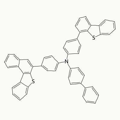 c1ccc(-c2ccc(N(c3ccc(-c4cccc5c4sc4ccccc45)cc3)c3ccc(-c4cc5ccccc5c5c4sc4ccccc45)cc3)cc2)cc1